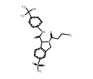 CS(=O)(=O)c1ccc2c(c1)CN(C(=O)CCN)C2C(=O)Nc1ccc(C(C#N)(C(F)(F)F)C(F)(F)F)cc1